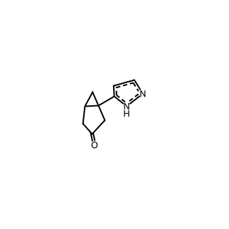 O=C1CC2CC2(c2ccn[nH]2)C1